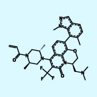 C=CC(=O)N1C[C@H](C)N(c2c(C(F)(F)F)c(=O)n3c4c(c(-c5c(C)ccc6cnn(C)c56)ccc24)OC[C@H]3CN(C)C)C[C@H]1C